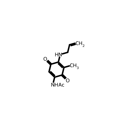 C=CCNC1=C(C)C(=O)C(NC(C)=O)=CC1=O